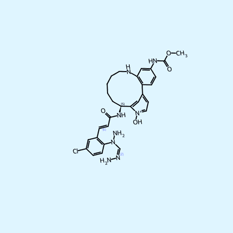 COC(=O)Nc1ccc2c(c1)NCCCCC[C@H](NC(=O)/C=C/c1cc(Cl)ccc1N(N)/C=N\N)c1cc-2cc[n+]1O